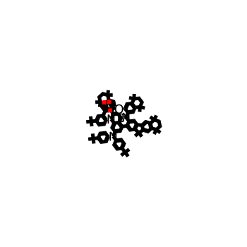 CC(C)(C)c1ccc(N(c2ccc(C(C)(C)C)cc2)c2cc3c4c(c2)N(c2ccc(C(C)(C)C)cc2-c2ccccc2)c2c(oc5cc6c(cc25)C(C)(C)CCC6(C)C)B4N(c2ccc4c(c2)C(C)(C)CCC4(C)C)c2cc4c(cc2-3)C(C)(C)c2cc3c(cc2-4)C(C)(C)CCC3(C)C)cc1